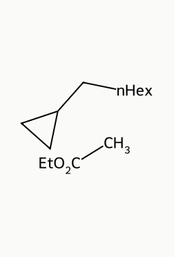 CCCCCCCC1CC1.CCOC(C)=O